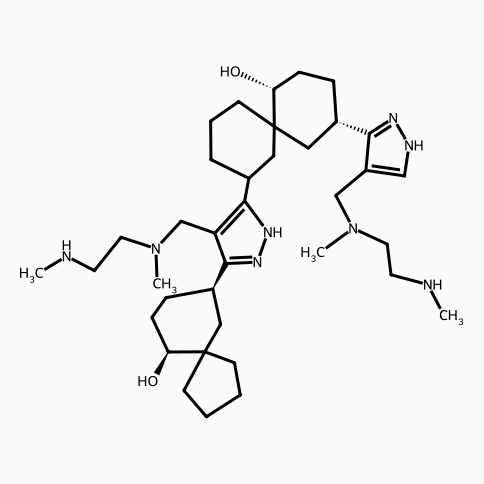 CNCCN(C)Cc1c[nH]nc1[C@H]1CC[C@@H](O)C2(CCCC(c3[nH]nc([C@@H]4CC[C@H](O)C5(CCCC5)C4)c3CN(C)CCNC)C2)C1